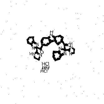 Cl.Cl.Cl.Cl.O=C(c1ccc2[nH]c3ccc(C(=O)C4(C5=NCCN5)N=c5ccccc5=N4)cc3c2c1)C1(C2=NCCN2)N=c2ccccc2=N1